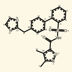 Cc1noc(C(=O)NS(=O)(=O)c2ccccc2-c2ccc(Cc3ncco3)cc2)c1C